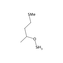 CSCCC(C)O[SiH3]